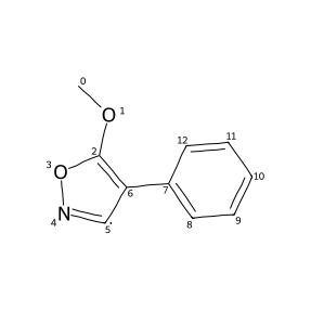 COc1on[c]c1-c1ccccc1